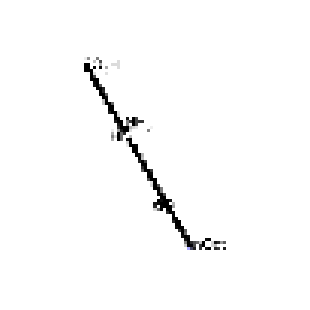 CCCCCCCC/C=C\CCCCCCCCOC(=O)CCCCCCCCCCCCCCCNC(CN)CCCCCCCCCCCCCCCC(=O)O